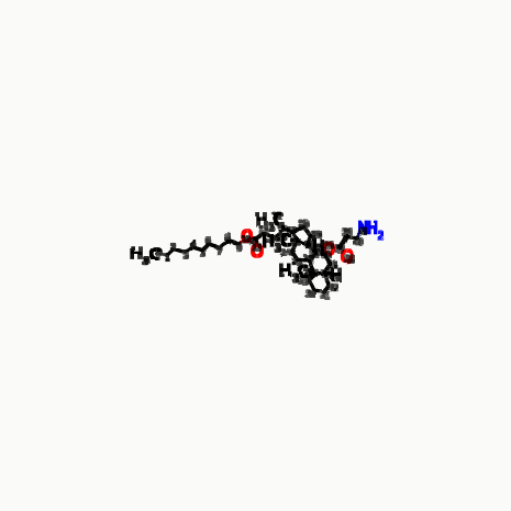 CCCCCCCCCCOC(=O)CC[C@@H](C)C1CCC2[C@H]3C(CC[C@@]21C)[C@@]1(C)CCCC[C@H]1C[C@H]3OC(=O)CCN